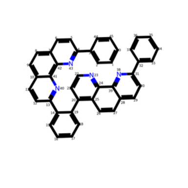 c1ccc(-c2ccc3ccc4ccc(-c5ccccc5-c5ccnc6c5ccc5ccc(-c7ccccc7)nc56)nc4c3n2)cc1